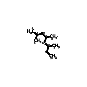 [CH2]C(SC(C)C)SC(C)CC